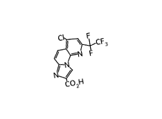 O=C(O)c1cn2c(ccc3c(Cl)cc(C(F)(F)C(F)(F)F)nc32)n1